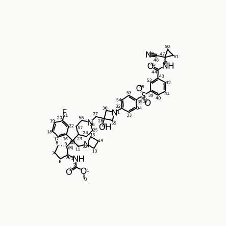 COC(=O)N[C@H]1CCC[C@@H]1[C@](CN1CCC1)(c1cccc(F)c1)C1CCN(CC2(O)CN(c3ccc(S(=O)(=O)c4cccc(C(=O)NC5(C#N)CC5)c4)cc3)C2)CC1